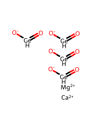 [Ca+2].[Mg+2].[O]=[GeH][O-].[O]=[GeH][O-].[O]=[GeH][O-].[O]=[GeH][O-]